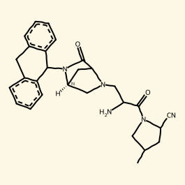 CC1CC(C#N)N(C(=O)C(N)CN2C[C@@H]3CC2C(=O)N3C2c3ccccc3Cc3ccccc32)C1